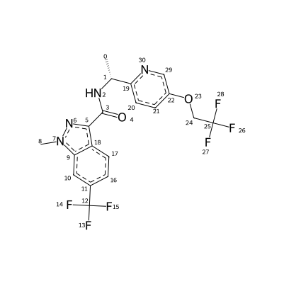 C[C@@H](NC(=O)c1nn(C)c2cc(C(F)(F)F)ccc12)c1ccc(OCC(F)(F)F)cn1